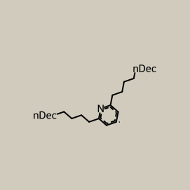 CCCCCCCCCCCCCCc1c[c]cc(CCCCCCCCCCCCCC)n1